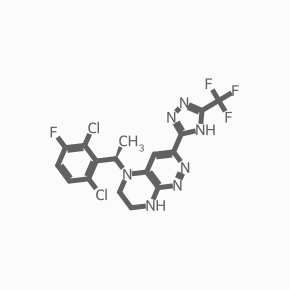 C[C@H](c1c(Cl)ccc(F)c1Cl)N1CCNc2nnc(-c3nnc(C(F)(F)F)[nH]3)cc21